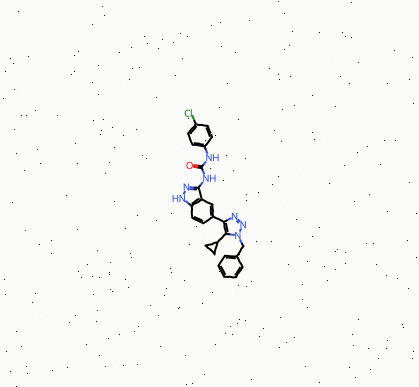 O=C(Nc1ccc(Cl)cc1)Nc1n[nH]c2ccc(-c3nnn(Cc4ccccc4)c3C3CC3)cc12